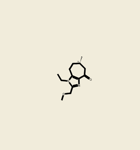 CCn1c(COC)nc2c1CC[C@H](C)CC2=O